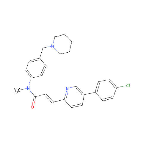 CN(C(=O)C=Cc1ccc(-c2ccc(Cl)cc2)cn1)c1ccc(CN2CCCCC2)cc1